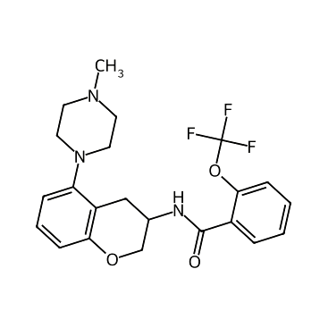 CN1CCN(c2cccc3c2CC(NC(=O)c2ccccc2OC(F)(F)F)CO3)CC1